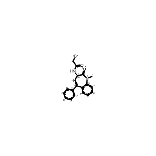 CN1C(=O)[C@H](NC(=O)CBr)N=C(c2ccccc2)c2ccccc21